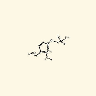 CNCc1ccc(OCC(F)(F)F)nc1OC